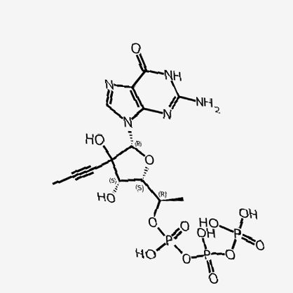 CC#CC1(O)[C@@H](O)[C@@H]([C@@H](C)OP(=O)(O)OP(=O)(O)OP(=O)(O)O)O[C@H]1n1cnc2c(=O)[nH]c(N)nc21